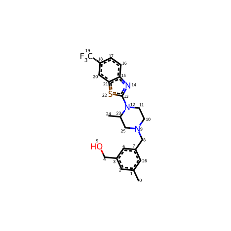 Cc1cc(CO)cc(CN2CCN(c3nc4ccc(C(F)(F)F)cc4s3)C(C)C2)c1